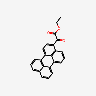 CCOC(=O)C(=O)c1ccc2c3cccc4cccc(c5cccc1c52)c43